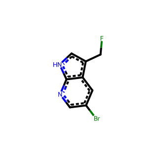 FCc1c[nH]c2ncc(Br)cc12